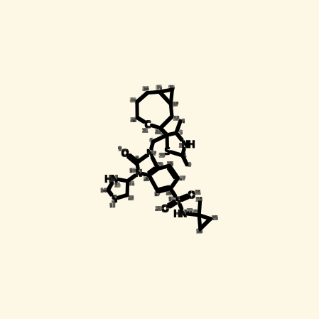 CC1NC(C)C(Cn2c(=O)n(C3CSCN3)c3cc(S(=O)(=O)NC4(C)CC4)ccc32)(C2CCCCC3CC3C2)S1